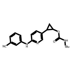 CC(C)(C)NC(=O)OC1CC1c1ccc(Nc2cccc(C#N)c2)nc1